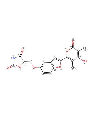 Cc1c(-c2cc3cc(OCC4OC(=O)NC4=O)ccc3o2)oc(=O)c(C)c1O